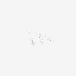 C[C@@H](NC(=O)c1cncc(-c2ccc(=O)n(C)c2)c1)c1ccc(-c2cc(C(F)(F)F)ccc2CNC(=O)OC(C)(C)C)cc1